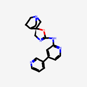 c1cncc(-c2ccnc(NC3=NC[C@@]4(CN5CCC4CC5)O3)c2)c1